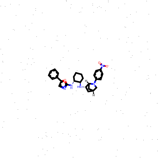 O=[N+]([O-])c1ccc(N2C[C@@H]3C[C@H](N[C@@H]4CCCC[C@H]4Nc4ncc(-c5ccccc5)o4)[C@H]2C3)cc1